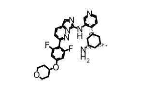 C[C@@H]1C[C@H](N)C[C@H](c2ccncc2Nc2ncc3ccc(-c4c(F)cc(OC5CCOCC5)cc4F)nn23)C1